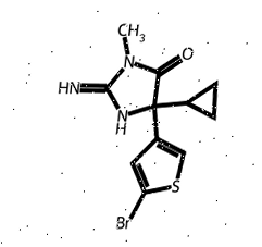 CN1C(=N)NC(c2csc(Br)c2)(C2CC2)C1=O